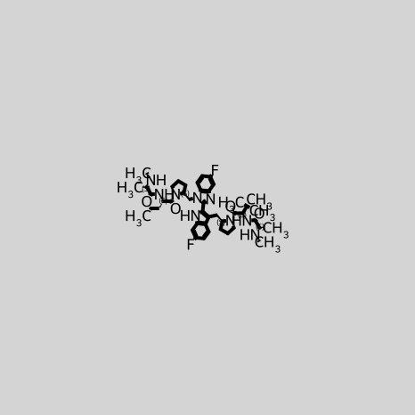 CCC[C@H](NC(=O)[C@H](C)NC)C(=O)N1CCC[C@H]1Cn1c(-c2[nH]c3cc(F)ccc3c2C[C@@H]2CCCN2C(=O)[C@@H](NC(=O)[C@H](C)NC)C(C)(C)C)nc2cc(F)ccc21